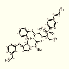 CC[C@H](C)[C@@H](C(=O)N[C@@H](Cc1ccccc1)[C@H](O)CN(CC(C)C)S(=O)(=O)c1ccc(C=NO)cc1)N1CCN(Cc2cccc(CO)c2)C1=O